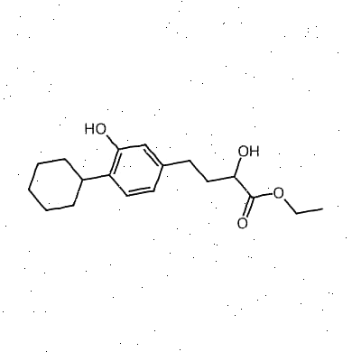 CCOC(=O)C(O)CCc1ccc(C2CCCCC2)c(O)c1